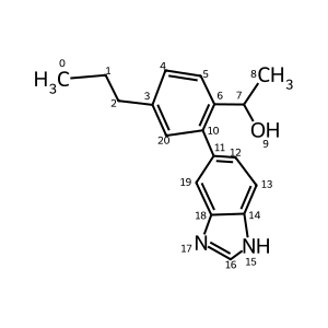 CCCc1ccc(C(C)O)c(-c2ccc3[nH]cnc3c2)c1